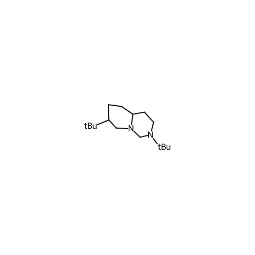 CC(C)(C)C1CCC2CCN(C(C)(C)C)CN2C1